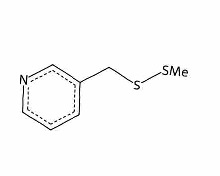 CSSCc1cccnc1